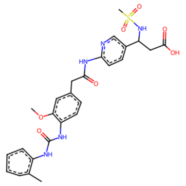 COc1cc(CC(=O)Nc2ccc(C(CC(=O)O)NS(C)(=O)=O)cn2)ccc1NC(=O)Nc1ccccc1C